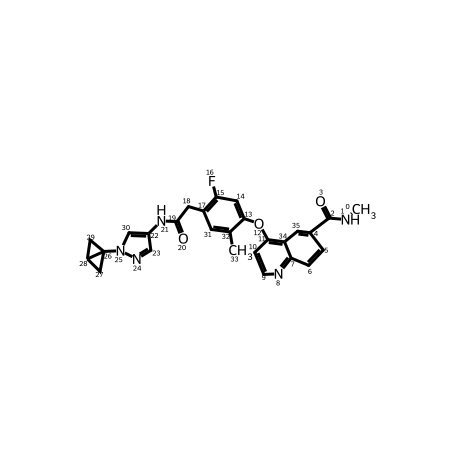 CNC(=O)c1ccc2nccc(Oc3cc(F)c(CC(=O)Nc4cnn(C56CC5C6)c4)cc3C)c2c1